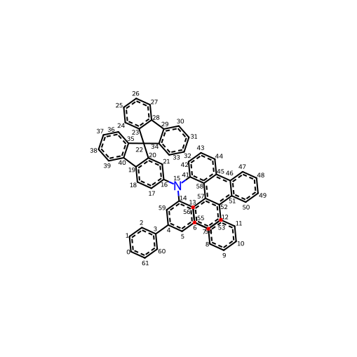 c1ccc(-c2cc(-c3ccccc3)cc(N(c3ccc4c(c3)C3(c5ccccc5-c5ccccc53)c3ccccc3-4)c3cccc4c5ccccc5c5ccccc5c34)c2)cc1